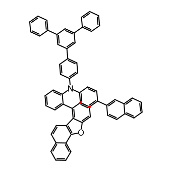 c1ccc(-c2cc(-c3ccccc3)cc(-c3ccc(N(c4ccc(-c5ccc6ccccc6c5)cc4)c4ccccc4-c4cccc5oc6c7ccccc7ccc6c45)cc3)c2)cc1